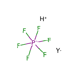 F[P-](F)(F)(F)(F)F.[H+].[Y]